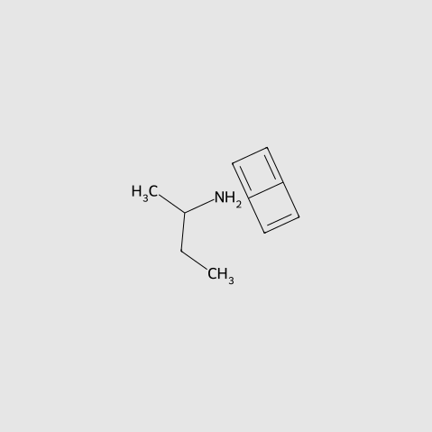 CCC(C)N.c1cc2ccc1-2